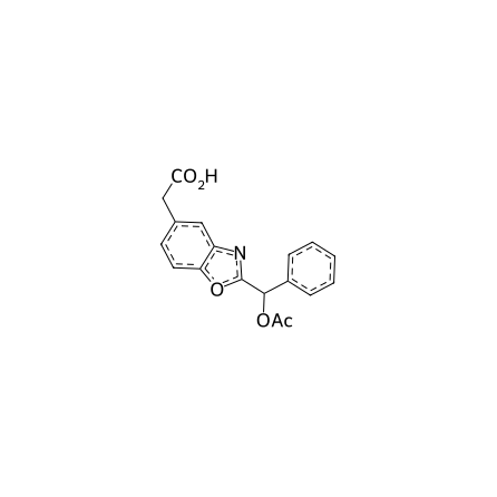 CC(=O)OC(c1ccccc1)c1nc2cc(CC(=O)O)ccc2o1